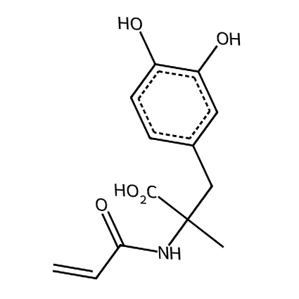 C=CC(=O)NC(C)(Cc1ccc(O)c(O)c1)C(=O)O